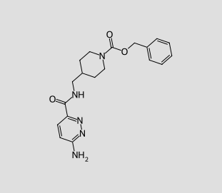 Nc1ccc(C(=O)NCC2CCN(C(=O)OCc3ccccc3)CC2)nn1